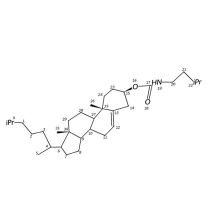 CC(C)CCCC(C)C1CCC2C3CC=C4C[C@H](OC(=O)NCCC(C)C)CC[C@@]4(C)C3CC[C@@]12C